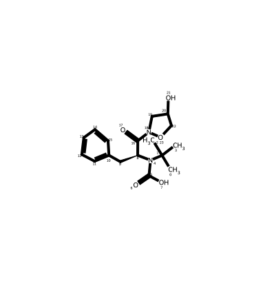 CC(C)(C)N(C(=O)O)[C@@H](Cc1ccccc1)C(=O)N1CC(O)CO1